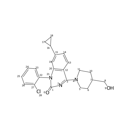 O=c1nc(N2CCC(CO)CC2)c2ccc(C3CC3)cc2n1-c1ccccc1Cl